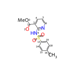 COC(=O)c1cccnc1NS(=O)(=O)c1ccc(C)cc1